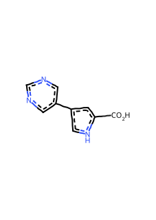 O=C(O)c1cc(-c2cncnc2)c[nH]1